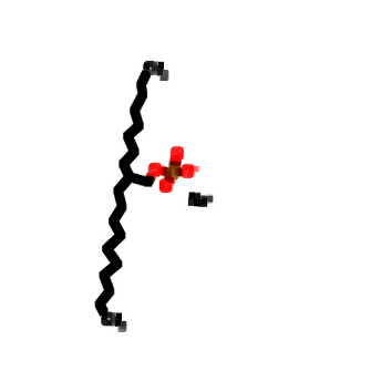 CCCCCCCCCCC(CCCCCCCC)COS(=O)(=O)[O-].[Na+]